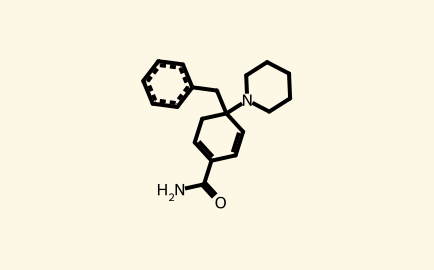 NC(=O)C1=CCC(Cc2ccccc2)(N2CCCCC2)C=C1